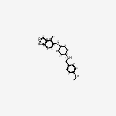 COc1ccc(CNC2CCC(Oc3ccc4[nH]ncc4c3C)CC2)cc1